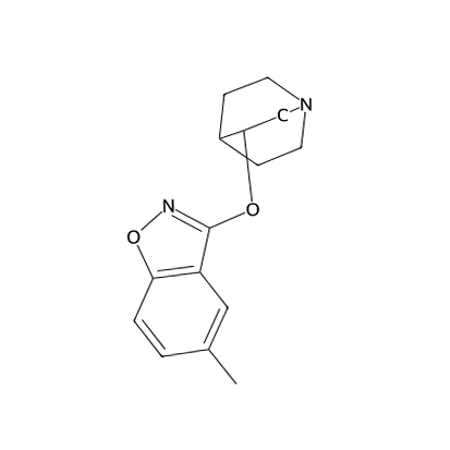 Cc1ccc2onc(OC3CN4CCC3CC4)c2c1